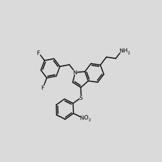 NCCc1ccc2c(Sc3ccccc3[N+](=O)[O-])cn(Cc3cc(F)cc(F)c3)c2c1